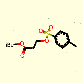 CCC(C)OC(=O)CCOS(=O)(=O)c1ccc(C)cc1